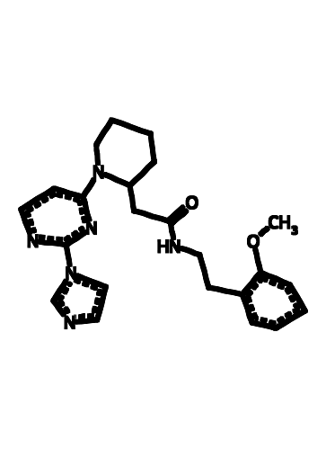 COc1ccccc1CCNC(=O)CC1CCCCN1c1ccnc(-n2ccnc2)n1